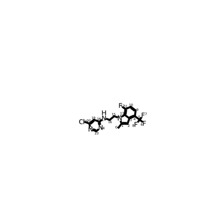 Cc1cc2c(C(F)(F)F)ccc(F)c2n1CCNc1cc(Cl)ncn1